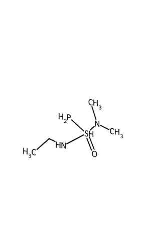 CCN[SH](=O)(P)N(C)C